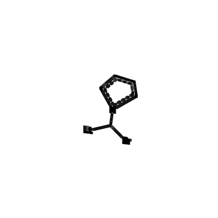 CCC(Br)n1cccc1